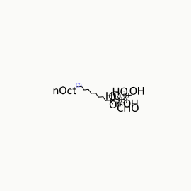 CCCCCCCC/C=C\CCCCCCCC(=O)O[C@@H](C=O)[C@@H](O)[C@@H](O)[C@H](O)CO